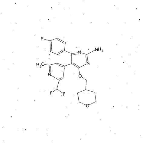 Cc1cc(-c2c(OCC3CCOCC3)nc(N)nc2-c2ccc(F)cc2)cc(C(F)F)n1